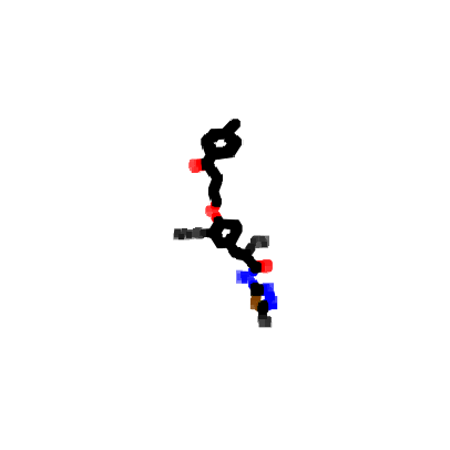 CCc1nnc(NC(=O)/C(C#N)=C/c2ccc(OCCCC(=O)c3ccc(C)cc3)c(OC)c2)s1